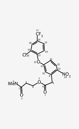 CNC(=O)CCOC(=O)Cc1cc(Oc2ccc(C(F)(F)F)cc2Cl)ccc1[N+](=O)[O-]